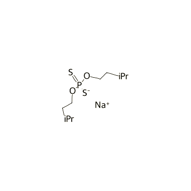 CC(C)CCOP(=S)([S-])OCCC(C)C.[Na+]